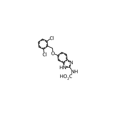 O=C(O)Nc1nc2ccc(OCc3c(Cl)cccc3Cl)cc2[nH]1